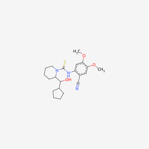 COc1cc(C#N)c(NC(=S)N2CCCCC2C(O)C2CCCC2)cc1OC